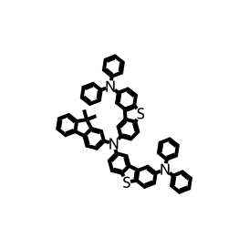 CC1(C)c2ccccc2-c2ccc(N(c3ccc4sc5ccc(N(c6ccccc6)c6ccccc6)cc5c4c3)c3ccc4sc5ccc(N(c6ccccc6)c6ccccc6)cc5c4c3)cc21